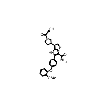 C#CC(=O)N1CCC(c2cnn3c(C(N)=O)c(-c4ccc(Oc5ccccc5OC)cc4)[nH]c23)C1